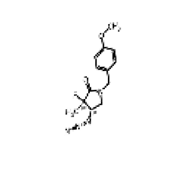 COc1ccc(CN2C[C@@H](N=[N+]=[N-])[C@@](C)(F)C2=O)cc1